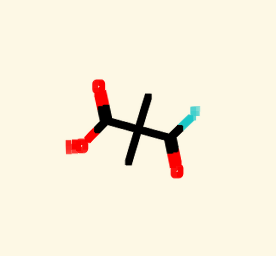 CC(C)(C(=O)O)C(=O)F